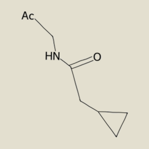 CC(=O)CNC(=O)CC1CC1